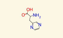 NC(Cc1cnccn1)C(=O)O